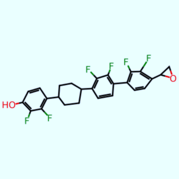 Oc1ccc(C2CCC(c3ccc(-c4ccc(C5CO5)c(F)c4F)c(F)c3F)CC2)c(F)c1F